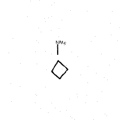 C1CCC1.CNC